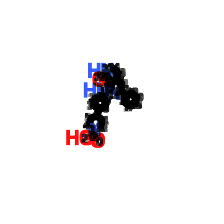 O=C(O)N1CCC(c2ccc(Nc3nc(-c4ccccc4)cc4cc[nH]c(=O)c34)cc2)CC1